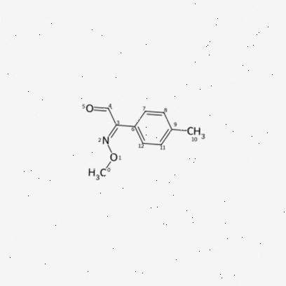 CO/N=C(/[C]=O)c1ccc(C)cc1